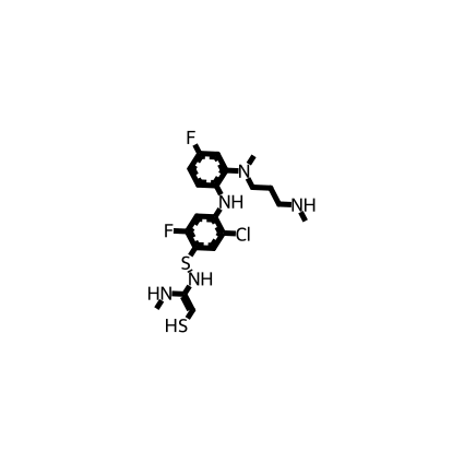 CNCCCN(C)c1cc(F)ccc1Nc1cc(F)c(SN/C(=C/S)NC)cc1Cl